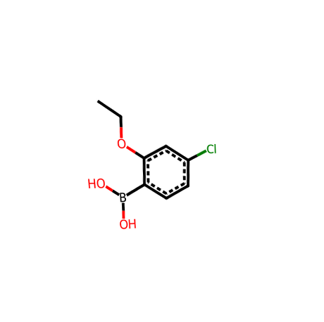 CCOc1cc(Cl)ccc1B(O)O